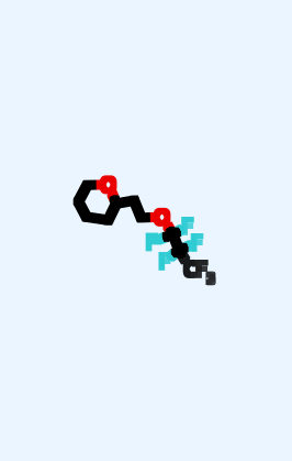 FC(F)(F)C(F)(F)C(F)(F)OCCC1CCCCO1